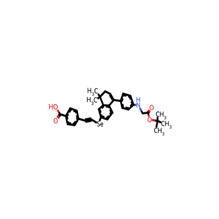 CC(C)(C)OC(=O)CNc1ccc(C2=CCC(C)(C)c3cc([Se]C#Cc4ccc(C(=O)O)cc4)ccc32)cc1